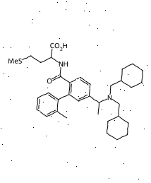 CSCCC(NC(=O)c1ccc(C(C)N(CC2CCCCC2)CC2CCCCC2)cc1-c1ccccc1C)C(=O)O